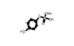 COP(=O)(O)Oc1ccc(C)cc1